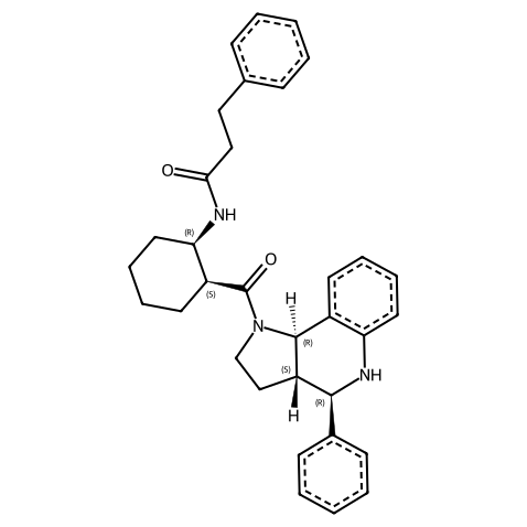 O=C(CCc1ccccc1)N[C@@H]1CCCC[C@@H]1C(=O)N1CC[C@H]2[C@H](c3ccccc3)Nc3ccccc3[C@@H]21